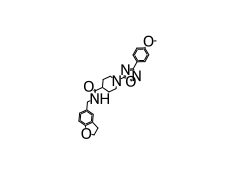 COc1ccc(-c2noc(N3CCC(C(=O)NCc4ccc5c(c4)CCO5)CC3)n2)cc1